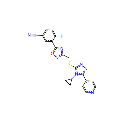 N#Cc1ccc(F)c(-c2nc(CSc3nnc(-c4ccncc4)n3C3CC3)no2)c1